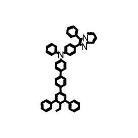 CCC1C(c2ccccc2)=CC(c2ccc(-c3ccc(N(c4ccccc4)c4ccc(-c5nc6ccccn6c5-c5ccccc5)cc4)cc3)cc2)=CC1c1ccccc1